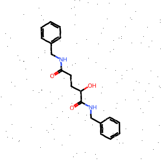 O=C(CCC(O)C(=O)NCc1ccccc1)NCc1ccccc1